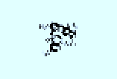 CCCCN1CCN(Cc2nc(Cc3ccn4c(C(F)(F)F)nnc4c3C)ccc2C)[S+]([O-])c2cc(C)cnc21